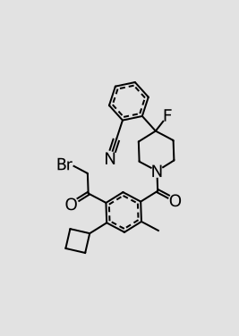 Cc1cc(C2CCC2)c(C(=O)CBr)cc1C(=O)N1CCC(F)(c2ccccc2C#N)CC1